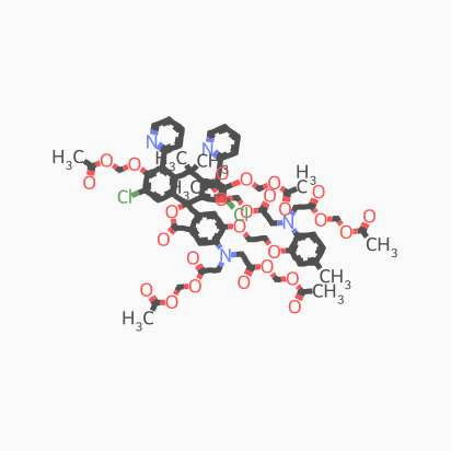 CC(=O)OCOC(=O)CN(CC(=O)OCOC(C)=O)c1ccc(C)cc1OCCOc1cc2c(cc1N(CC(=O)OCOC(C)=O)CC(=O)OCOC(C)=O)C(=O)OC21c2cc(Cl)c(OCOC(C)=O)c(-c3ccccn3)c2C(C)(C)c2c1cc(Cl)c(OCOC(C)=O)c2-c1ccccn1